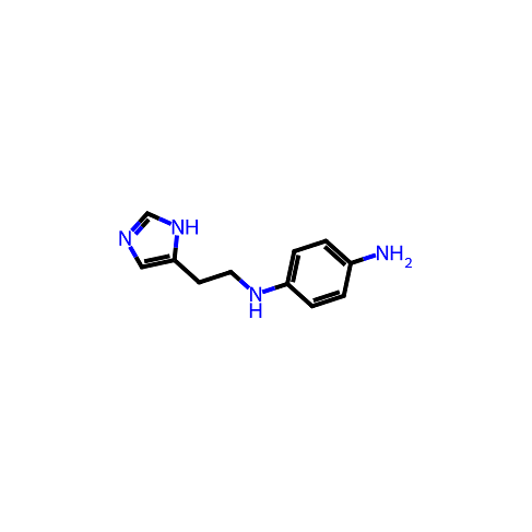 Nc1ccc(NCCc2cnc[nH]2)cc1